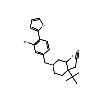 CC(C)(C)C1(CC#N)CCN(Cc2ccc(-c3ccco3)c(O)c2)CC1F